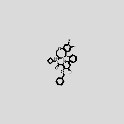 O=C1c2c(OCc3ccccc3)c(=O)ccn2N2[C@H](c3ccccc3)c3cc(F)c(F)cc3OCC[C@H]2N1C1CCC1